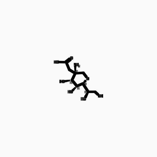 N[C@]1(CC(=O)O)CO[C@H]([C@H](O)CO)[C@H](O)[C@@H]1O